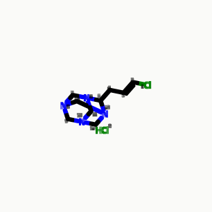 Cl.ClC=CCC1N2CN3CN(C2)CN1C3